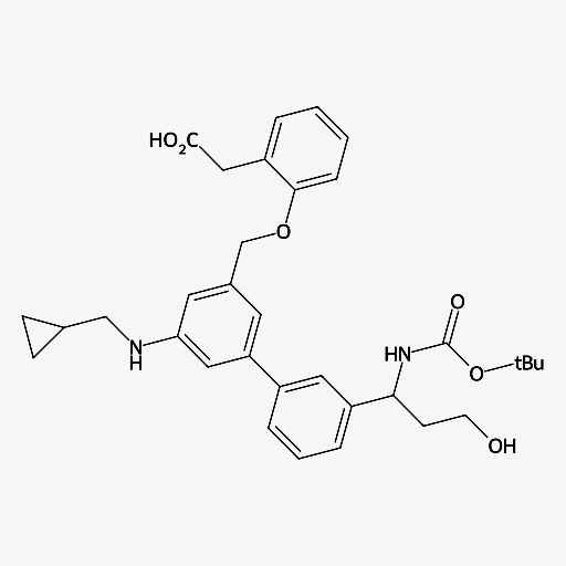 CC(C)(C)OC(=O)NC(CCO)c1cccc(-c2cc(COc3ccccc3CC(=O)O)cc(NCC3CC3)c2)c1